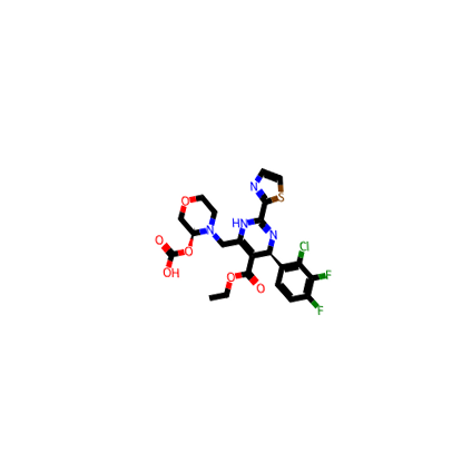 CCOC(=O)C1=C(CN2CCOC[C@@H]2OC(=O)O)NC(c2nccs2)=N[C@H]1c1ccc(F)c(F)c1Cl